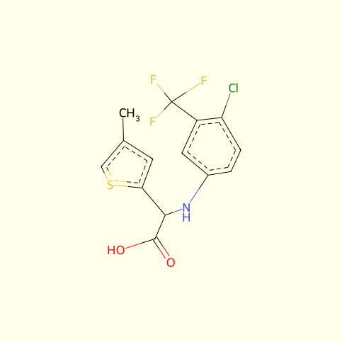 Cc1csc(C(Nc2ccc(Cl)c(C(F)(F)F)c2)C(=O)O)c1